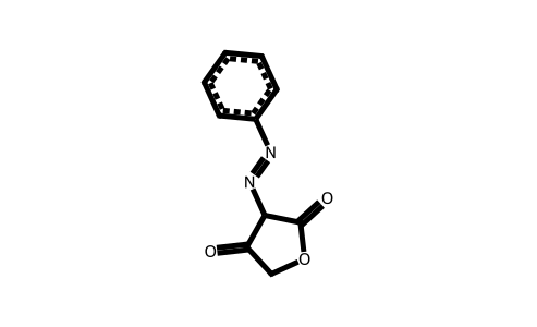 O=C1COC(=O)C1N=Nc1ccccc1